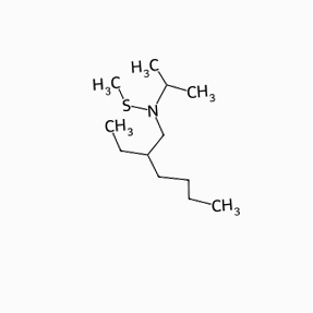 CCCCC(CC)CN(SC)C(C)C